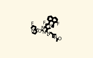 C#Cc1c(F)ccc2cccc(-c3ncc4c(N(C)CC5CN(C(C)=O)C5)nc(OC[C@@]56CCCN5C[C@H](F)C6)nc4c3F)c12